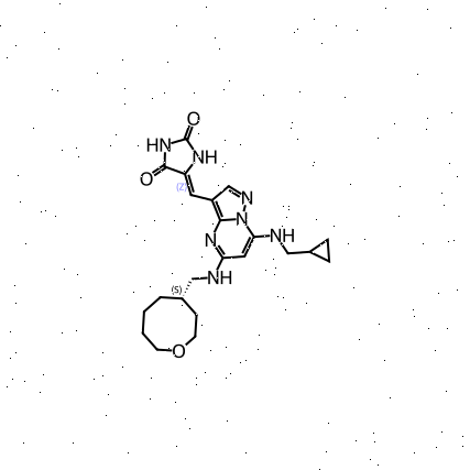 O=C1NC(=O)/C(=C/c2cnn3c(NCC4CC4)cc(NC[C@H]4CCCCOCC4)nc23)N1